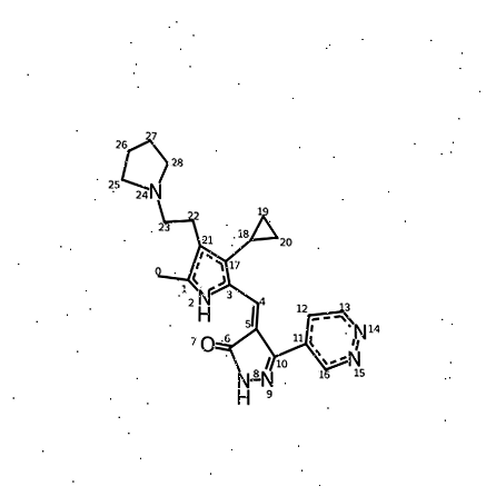 Cc1[nH]c(C=C2C(=O)NN=C2c2ccnnc2)c(C2CC2)c1CCN1CCCC1